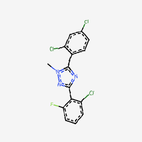 Cn1nc(-c2c(F)cccc2Cl)nc1-c1ccc(Cl)cc1Cl